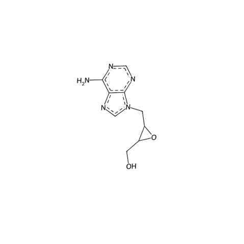 Nc1ncnc2c1ncn2CC1OC1CO